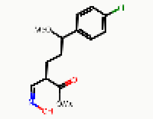 COC(=O)C(/C=N\O)CCC(OC)c1ccc(Cl)cc1